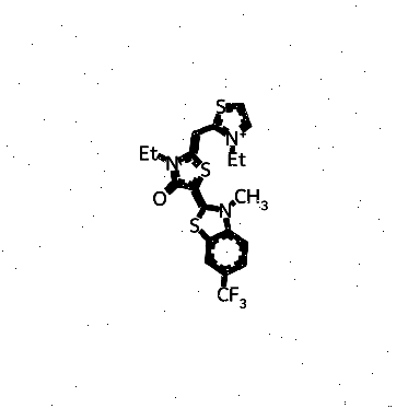 CCn1c(=O)/c(=C2\Sc3cc(C(F)(F)F)ccc3N2C)s/c1=C\c1scc[n+]1CC